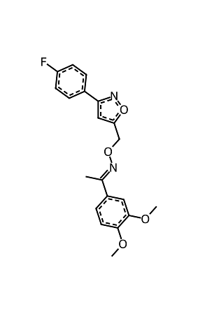 COc1ccc(/C(C)=N/OCc2cc(-c3ccc(F)cc3)no2)cc1OC